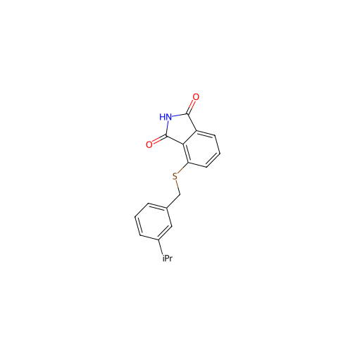 CC(C)c1cccc(CSc2cccc3c2C(=O)NC3=O)c1